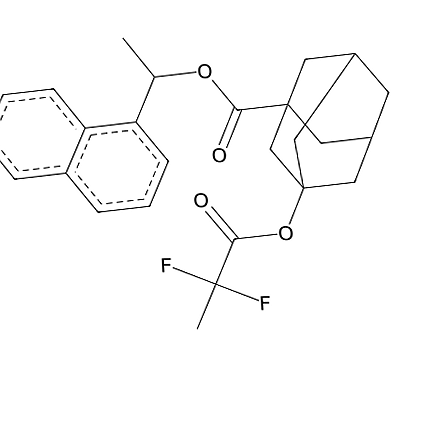 CC(OC(=O)C12CC3CC(CC(OC(=O)C(C)(F)F)(C3)C1)C2)c1cccc2ccccc12